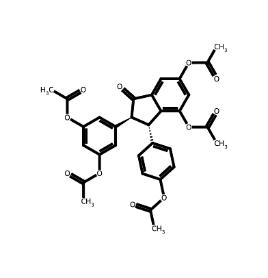 CC(=O)Oc1ccc([C@H]2c3c(OC(C)=O)cc(OC(C)=O)cc3C(=O)[C@@H]2c2cc(OC(C)=O)cc(OC(C)=O)c2)cc1